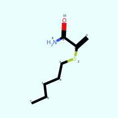 C=C(SCCCCC)C(N)=O